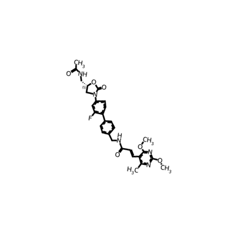 COc1nc(C)c(C=CC(=O)NCc2ccc(-c3ccc(N4C[C@H](CNC(C)=O)OC4=O)cc3F)cc2)c(OC)n1